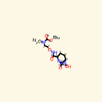 CN(CCONC(=O)C1CCC2CN1C(=O)N2O)C(=O)OC(C)(C)C